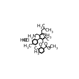 COC(=O)c1cccc(C)c1OCc1c(C)nc(CC(C)C)c(CN)c1-c1ccc(C)cc1.Cl.Cl